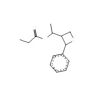 CCC(=O)OC(C)C1COC1c1ccccc1